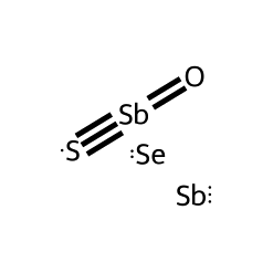 [O]=[Sb]#[S].[Sb].[Se]